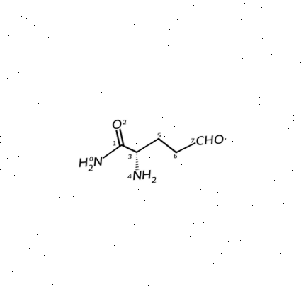 NC(=O)[C@@H](N)CC[C]=O